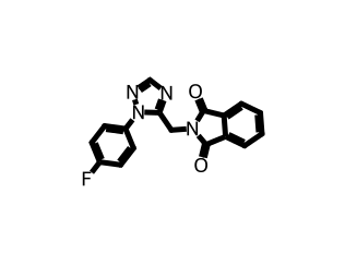 O=C1c2ccccc2C(=O)N1Cc1ncnn1-c1ccc(F)cc1